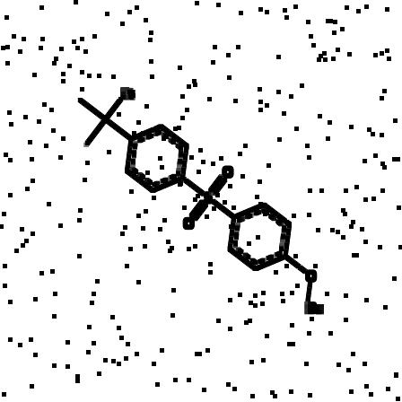 CCC(C)Oc1ccc(S(=O)(=O)c2ccc(C(C)(C)CC)cc2)cc1